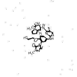 Cn1nnn(-c2cc(Nc3ncc(F)c(N[C@@H]4C[C@@H]5CCCN5C(C)(C)C4)n3)ccc2OCCO)c1=O